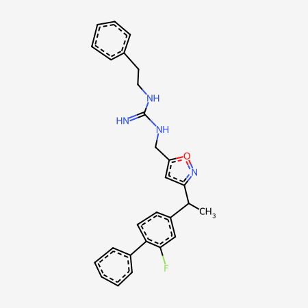 CC(c1ccc(-c2ccccc2)c(F)c1)c1cc(CNC(=N)NCCc2ccccc2)on1